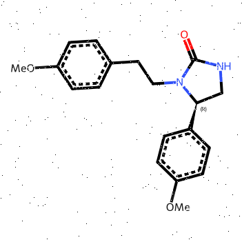 COc1ccc(CCN2C(=O)NC[C@H]2c2ccc(OC)cc2)cc1